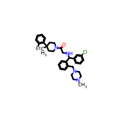 CCc1ccccc1C1(C)CCN(C(=O)CNC(c2cccc(Cl)c2)c2ccccc2CN2CCN(C)CC2)CC1